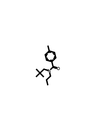 CCCN(CC(C)(C)C)C(=O)c1ccc(C)cc1